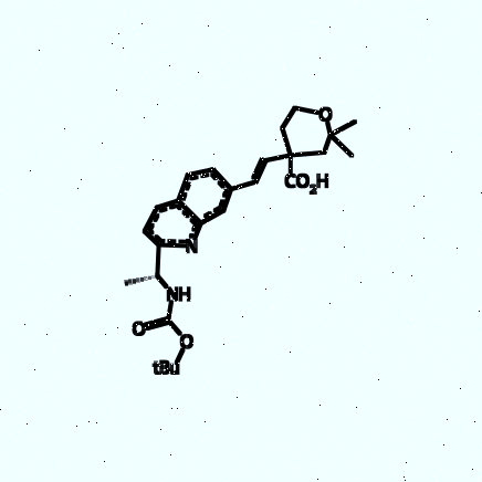 C[C@@H](NC(=O)OC(C)(C)C)c1ccc2ccc(/C=C/C3(C(=O)O)CCOC(C)(C)C3)cc2n1